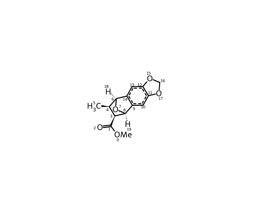 COC(=O)[C@H]1[C@@H](C)[C@@H]2O[C@H]1c1cc3c(cc12)OCO3